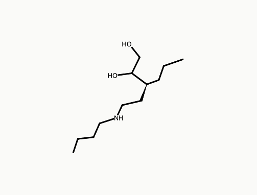 CCCCNCC[C@H](CCC)C(O)CO